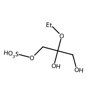 CCOC(O)(CO)COS(=O)(=O)O